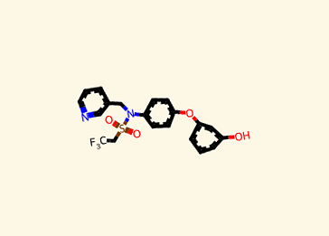 O=S(=O)(CC(F)(F)F)N(Cc1cccnc1)c1ccc(Oc2cccc(O)c2)cc1